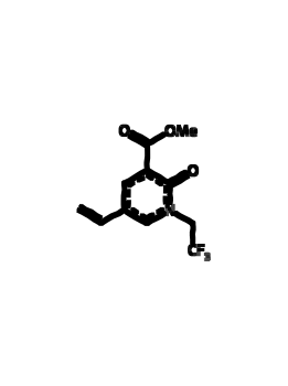 C=Cc1cc(C(=O)OC)c(=O)n(CC(F)(F)F)c1